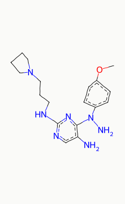 COc1ccc(N(N)c2nc(NCCCN3CCCC3)ncc2N)cc1